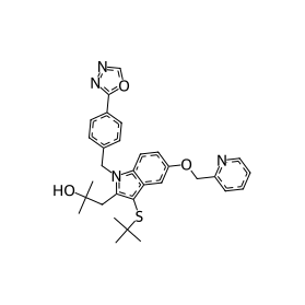 CC(C)(O)Cc1c(SC(C)(C)C)c2cc(OCc3ccccn3)ccc2n1Cc1ccc(-c2nnco2)cc1